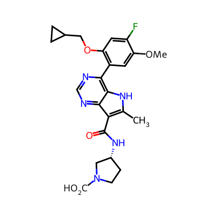 COc1cc(-c2ncnc3c(C(=O)N[C@@H]4CCN(C(=O)O)C4)c(C)[nH]c23)c(OCC2CC2)cc1F